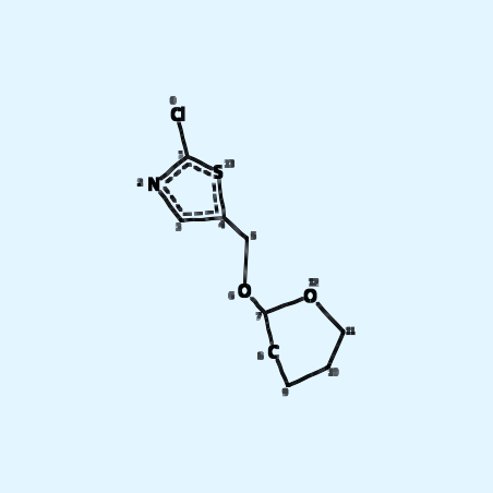 Clc1ncc(COC2CCCCO2)s1